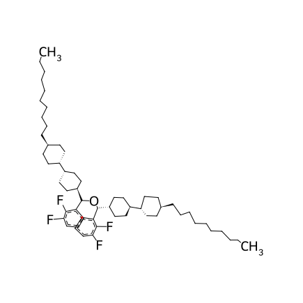 CCCCCCCCCC[C@H]1CC[C@H]([C@H]2CC[C@H](C(OC(c3cccc(F)c3F)[C@H]3CC[C@H]([C@H]4CC[C@H](CCCCCCCCCC)CC4)CC3)c3cccc(F)c3F)CC2)CC1